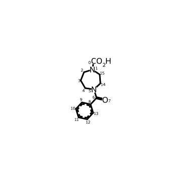 O=C(O)N1CCCN(C(=O)c2ccccc2)CC1